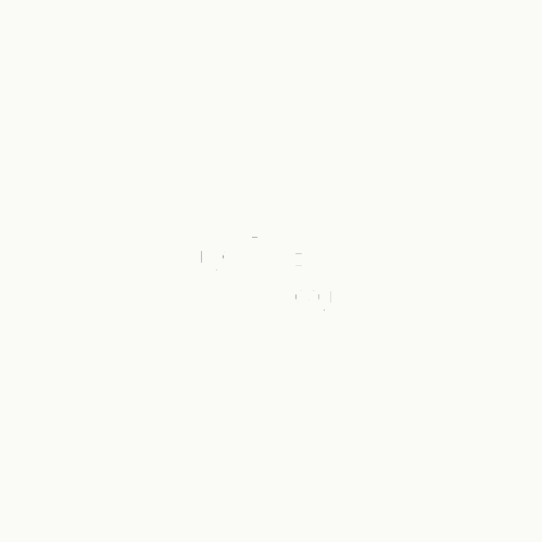 C=CC(=O)O.CCF